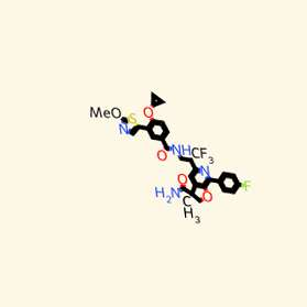 COc1ncc(-c2cc(C(=O)NC[C@H](c3cc4c(c(-c5ccc(F)cc5)n3)OC[C@]4(C)C(N)=O)C(F)(F)F)ccc2OC2CC2)s1